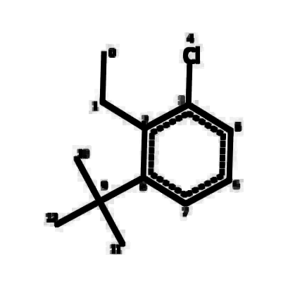 CCc1c(Cl)cccc1C(C)(C)C